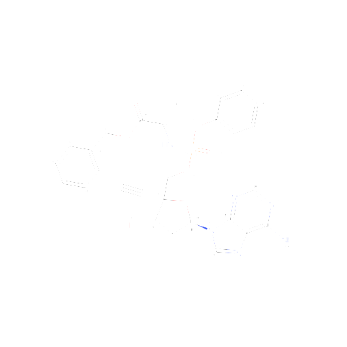 C#C[C@]1(CO[P@@](=O)(N[C@@H](C)C(=O)OCc2ccccc2)Oc2ccccc2)O[C@@H](n2cnc3c(N)ncnc32)C[C@@H]1O